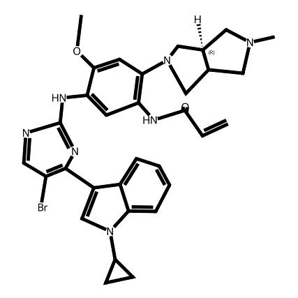 C=CC(=O)Nc1cc(Nc2ncc(Br)c(-c3cn(C4CC4)c4ccccc34)n2)c(OC)cc1N1CC2CN(C)C[C@@H]2C1